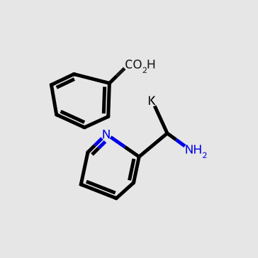 N[CH]([K])c1ccccn1.O=C(O)c1ccccc1